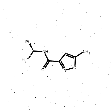 Cc1cc(C(=O)N[C@@H](C)C(C)C)no1